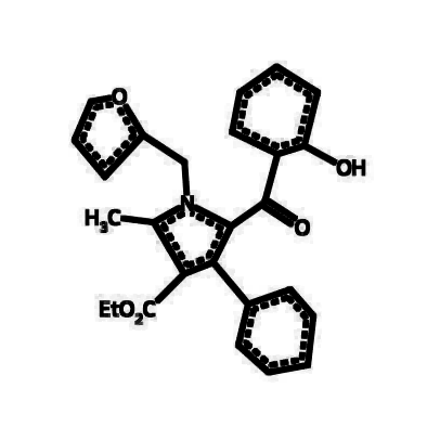 CCOC(=O)c1c(-c2ccccc2)c(C(=O)c2ccccc2O)n(Cc2ccco2)c1C